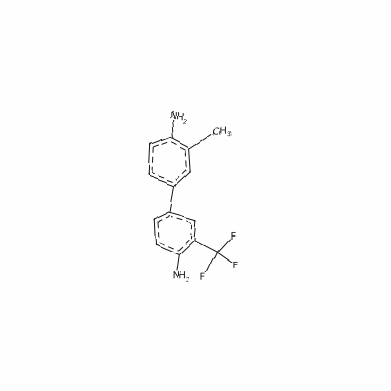 Cc1cc(-c2ccc(N)c(C(F)(F)F)c2)ccc1N